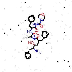 CC(C)C(NC(=O)C(Cc1ccccc1)CC(O)C(N)Cc1ccccc1)C(=O)NC(Cc1ccccc1)C(=O)NC(=O)N1CCOCC1